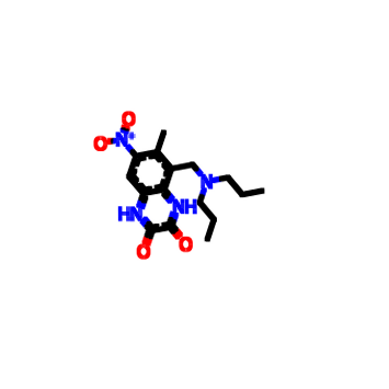 CCCN(CCC)Cc1c(C)c([N+](=O)[O-])cc2[nH]c(=O)c(=O)[nH]c12